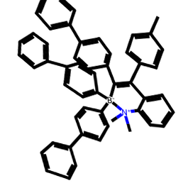 Cc1ccc(C2=C(c3ccc(-c4ccccc4)cc3)[B-](c3ccc(-c4ccccc4)cc3)(c3ccc(-c4ccccc4)cc3)[N+](C)(C)c3ccccc32)cc1